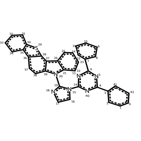 c1ccc(-c2nc(-c3ccccc3)nc(-n3ccnc3-n3c4ccccc4c4c5sc6ccccc6c5ccc43)n2)cc1